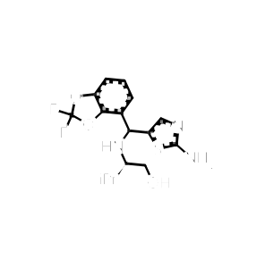 CC(C)[C@H](CO)NC(c1cnc(N)s1)c1cccc2c1OC(F)(F)O2